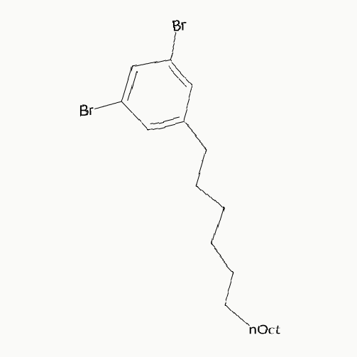 CCCCCCCCCCCCCCc1cc(Br)cc(Br)c1